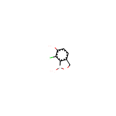 OB1OCc2ccc(O)c(Cl)c21